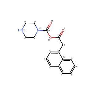 O=C(Cc1cccc2ccccc12)OC(=O)N1CCNCC1